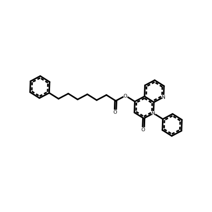 O=C(CCCCCCc1ccccc1)Oc1cc(=O)n(-c2ccccc2)c2ncccc12